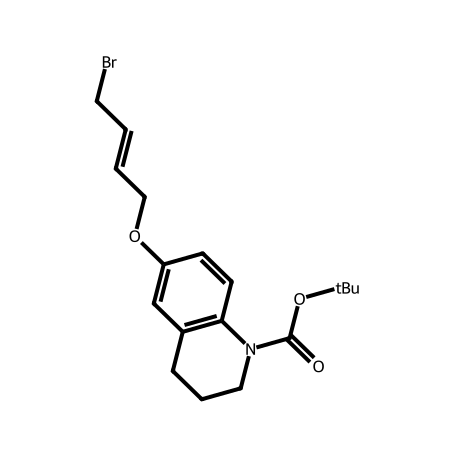 CC(C)(C)OC(=O)N1CCCc2cc(OCC=CCBr)ccc21